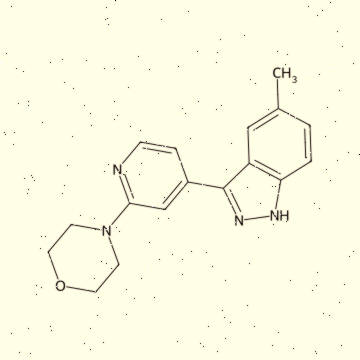 Cc1ccc2[nH]nc(-c3ccnc(N4CCOCC4)c3)c2c1